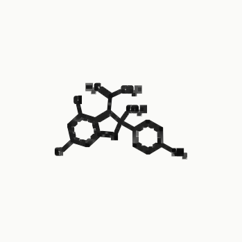 C=C(C(=O)O)C1=c2c(Cl)cc(Cl)cc2=NC1(C(=O)O)c1ccc(N)cc1